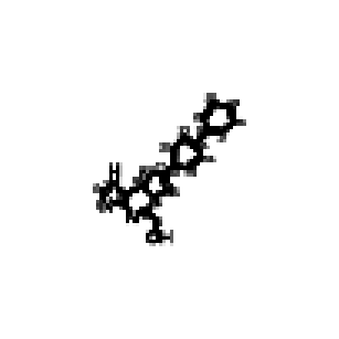 OCc1nc2nc[nH]c2c2nc(-c3ccc(-c4ccccc4)cc3)nn12